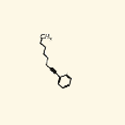 CCCCCCC#Cc1[c]cccc1